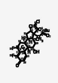 CCCCC(=O)O[C@]1(C(=O)CCl)[C@H](C)C[C@H]2[C@@H]3C[C@H](F)C4=C(F)C(=O)C=C[C@]4(C)[C@H]3[C@@H](O)C[C@@]21C